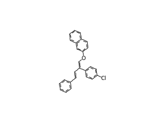 Clc1ccc(C(C=Cc2ccccc2)=COc2ccc3ccccc3c2)cc1